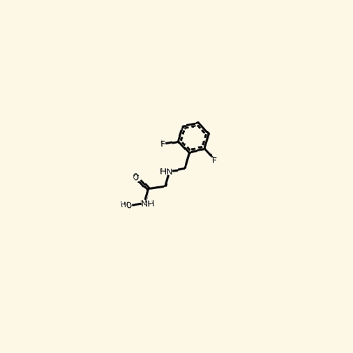 O=C(CNCc1c(F)cccc1F)NO